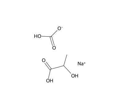 CC(O)C(=O)O.O=C([O-])O.[Na+]